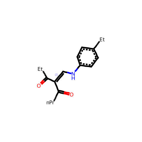 CCCC(=O)/C(=C\Nc1ccc(CC)cc1)C(=O)CC